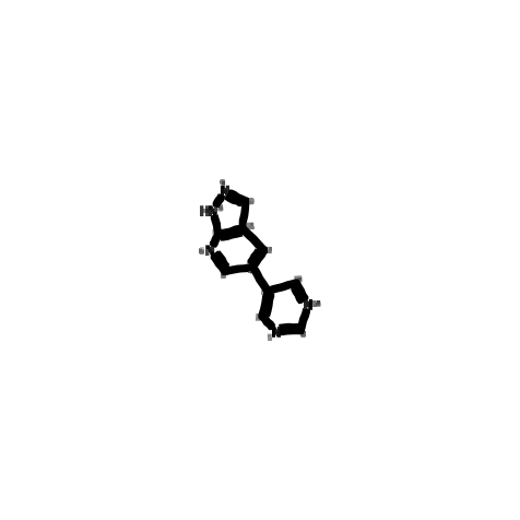 c1ncc(-c2cnc3[nH]ncc3c2)cn1